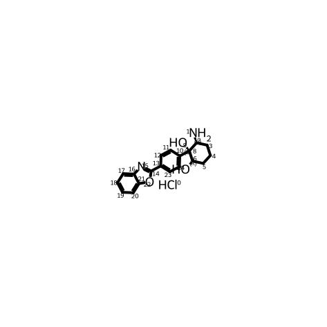 Cl.N[C@H]1CCC[C@@H](O)[C@]1(O)c1ccc(-c2nc3ccccc3o2)cc1